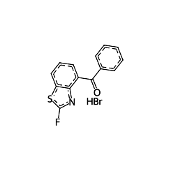 Br.O=C(c1ccccc1)c1cccc2sc(F)nc12